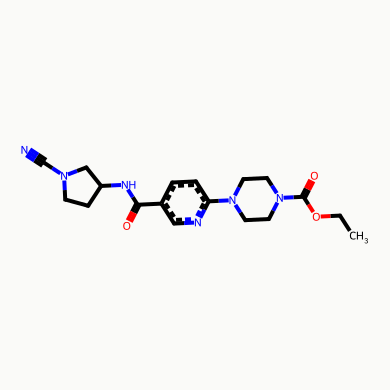 CCOC(=O)N1CCN(c2ccc(C(=O)NC3CCN(C#N)C3)cn2)CC1